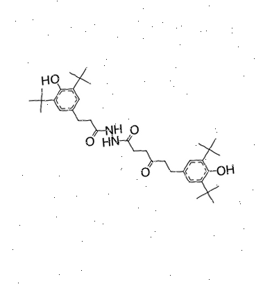 CC(C)(C)c1cc(CCC(=O)CCC(=O)NNC(=O)CCc2cc(C(C)(C)C)c(O)c(C(C)(C)C)c2)cc(C(C)(C)C)c1O